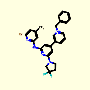 FC1(F)CCN(c2cc(-c3ccc[n+](Cc4ccccc4)c3)cc(Nc3cc(C(F)(F)F)ccn3)n2)C1.[Br-]